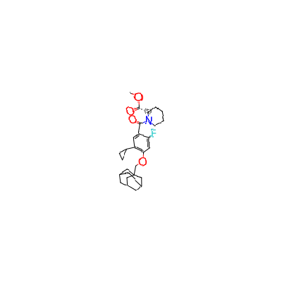 COC(=O)[C@@H]1CCCCN1C(=O)c1cc(C2CC2)c(OCC23CC4CC(CC(C4)C2)C3)cc1F